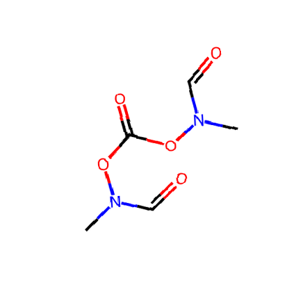 CN(C=O)OC(=O)ON(C)C=O